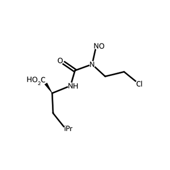 CC(C)C[C@H](NC(=O)N(CCCl)N=O)C(=O)O